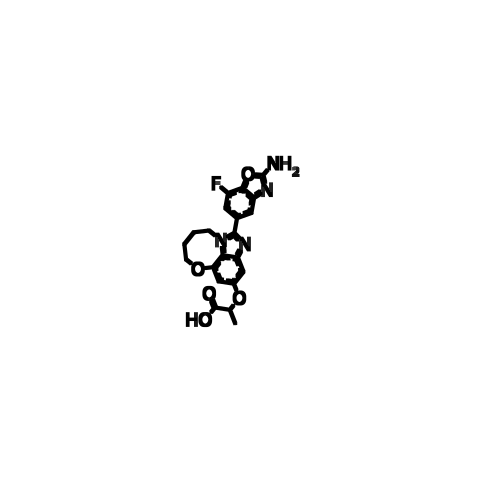 CC(Oc1cc2c3c(c1)nc(-c1cc(F)c4oc(N)nc4c1)n3CCCCO2)C(=O)O